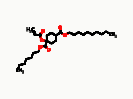 C=CC(=O)OC1(C(=O)OCCCCCCC)CCC(C(=O)OCCCCCCCCCC)CC1